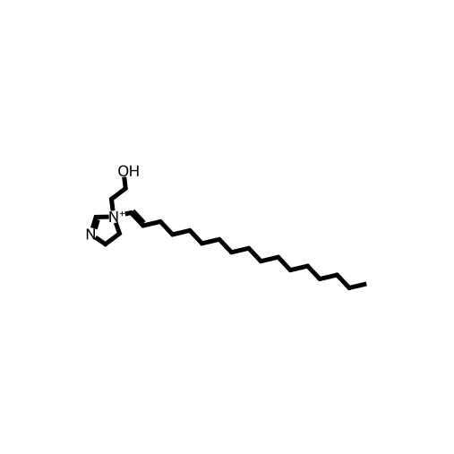 CCCCCCCCCCCCCCCC=C[N+]1(CCO)C=NCC1